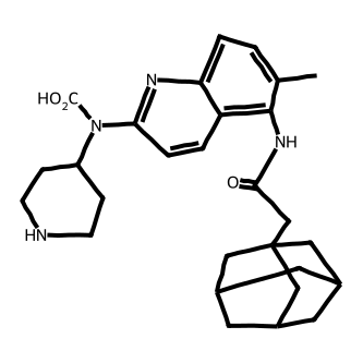 Cc1ccc2nc(N(C(=O)O)C3CCNCC3)ccc2c1NC(=O)CC12CC3CC(CC(C3)C1)C2